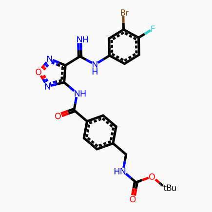 CC(C)(C)OC(=O)NCc1ccc(C(=O)Nc2nonc2C(=N)Nc2ccc(F)c(Br)c2)cc1